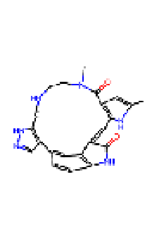 Cc1cc2c([nH]1)/C=C1\C(=O)Nc3ccc(cc31)-c1cn[nH]c1CNCCN(C)C2=O